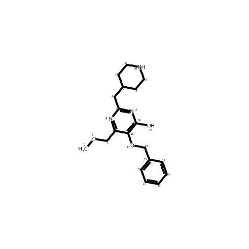 COCc1nc(CC2CCNCC2)nc(O)c1OCc1ccccc1